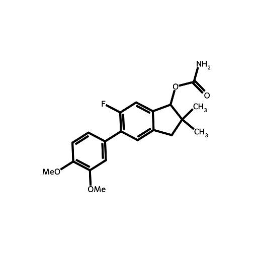 COc1ccc(-c2cc3c(cc2F)C(OC(N)=O)C(C)(C)C3)cc1OC